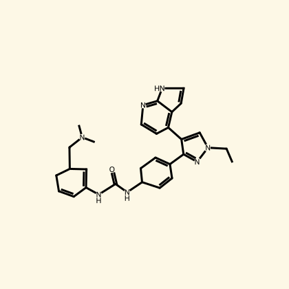 CCn1cc(-c2ccnc3[nH]ccc23)c(C2=CCC(NC(=O)NC3=CC(CN(C)C)CC=C3)C=C2)n1